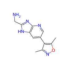 Cc1noc(C)c1-c1cnc2nc(CN)[nH]c2c1